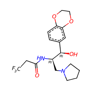 O=C(CC(F)(F)F)N[C@H](CN1CCCC1)[C@H](O)c1ccc2c(c1)OCCO2